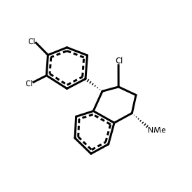 CN[C@H]1CC(Cl)[C@@H](c2ccc(Cl)c(Cl)c2)c2ccccc21